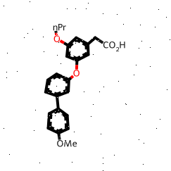 CCCOc1cc(CC(=O)O)cc(Oc2cccc(-c3ccc(OC)cc3)c2)c1